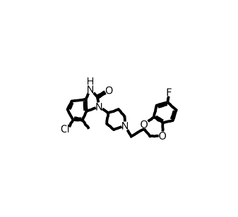 Cc1c(Cl)ccc2[nH]c(=O)n(C3CCN(CC4COc5ccc(F)cc5O4)CC3)c12